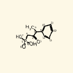 CC(C(=O)CP(=O)(O)O)c1ccccc1